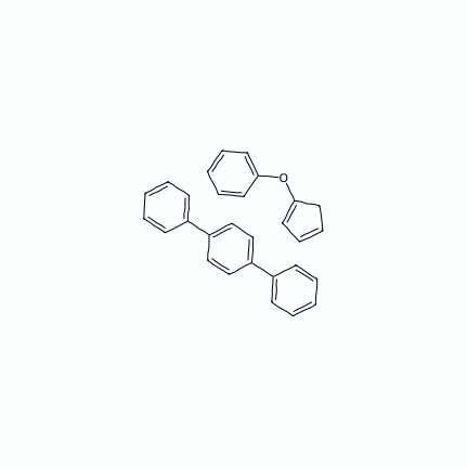 C1=CCC(Oc2ccccc2)=C1.c1ccc(-c2ccc(-c3ccccc3)cc2)cc1